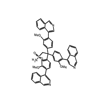 COc1cc(C(CS(N)(=O)=O)(c2ccc(-c3cncc4ccccc34)c(OC)c2)c2ccc(-c3cncc4ccccc34)c(OC)c2)ccc1-c1cncc2ccccc12